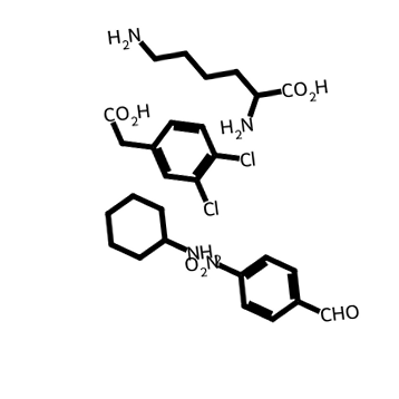 NC1CCCCC1.NCCCCC(N)C(=O)O.O=C(O)Cc1ccc(Cl)c(Cl)c1.O=Cc1ccc([N+](=O)[O-])cc1